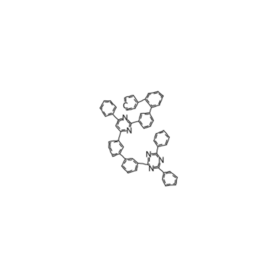 c1ccc(-c2cc(-c3cccc(-c4cccc(-c5nc(-c6ccccc6)nc(-c6ccccc6)n5)c4)c3)nc(-c3cccc(-c4ccccc4-c4ccccc4)c3)n2)cc1